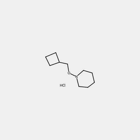 C1CCN(OCC2CCC2)CC1.Cl